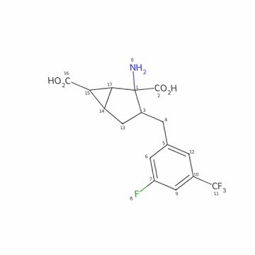 NC1(C(=O)O)C(Cc2cc(F)cc(C(F)(F)F)c2)CC2C(C(=O)O)C21